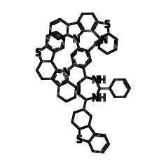 N#Cc1cc(C2C=CC(C3CCC4SC5CC=CC=C5C4C3)NC(C3CC=CCC3)N2)c(-n2c3c(c4c2C2c5ccccc5SC2CC4)CCCC3)cc1N1C2=C(CCC3=C2C2CCC=CC2S3)C2C=CC=CC21